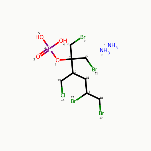 N.N.O=P(O)(O)OC(CBr)(CBr)C(CCl)CC(Br)CBr